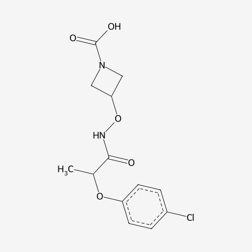 CC(Oc1ccc(Cl)cc1)C(=O)NOC1CN(C(=O)O)C1